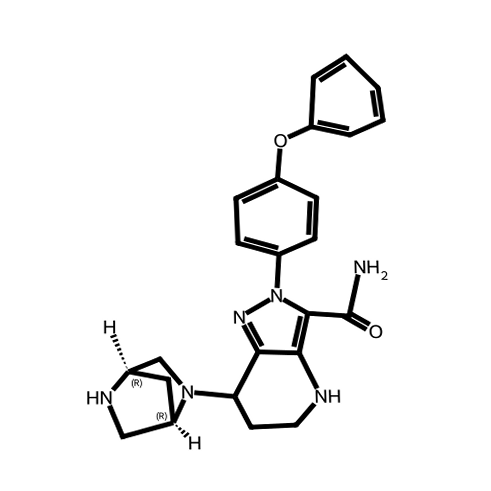 NC(=O)c1c2c(nn1-c1ccc(Oc3ccccc3)cc1)C(N1C[C@H]3C[C@@H]1CN3)CCN2